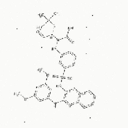 COc1cc(Nc2nc3ccccc3nc2NS(=O)(=O)c2cccc(NN(C(=O)O)[C@H](C=O)CC(C)(C)C)c2)cc(OC)c1